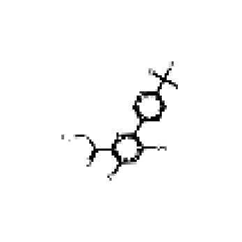 COC(=O)c1nc(-c2ccc(C(F)(F)F)nc2)c(O)cc1Cl